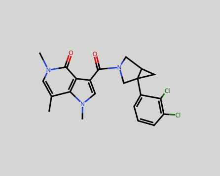 Cc1cn(C)c(=O)c2c(C(=O)N3CC4CC4(c4cccc(Cl)c4Cl)C3)cn(C)c12